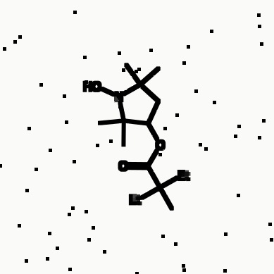 CCC(C)(CC)C(=O)OC1CC(C)(C)N(O)C1(C)C